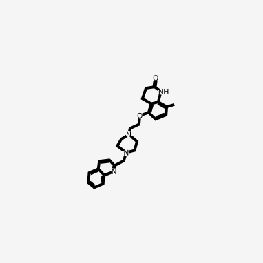 Cc1ccc(OCCN2CCN(Cc3ccc4ccccc4n3)CC2)c2c1NC(=O)CC2